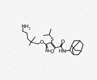 CC(C)Sc1c(OCC(C)(C)CCCN)noc1C(=O)NC1C2CC3CC(C2)CC1C3